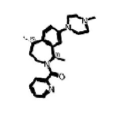 C[C@@H]1c2cc(N3CCN(C)CC3)ccc2[C@@H](C)CCN1C(=O)c1ccccn1